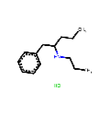 CCCNC(CCC)Cc1ccccc1.Cl